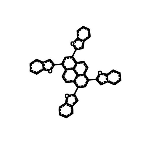 c1ccc2oc(-c3cc(-c4cc5ccccc5o4)c4ccc5c(-c6cc7ccccc7o6)cc(-c6cc7ccccc7o6)c6ccc3c4c65)cc2c1